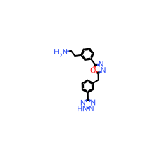 NCCc1cccc(-c2nnc(Cc3cccc(-c4nn[nH]n4)c3)o2)c1